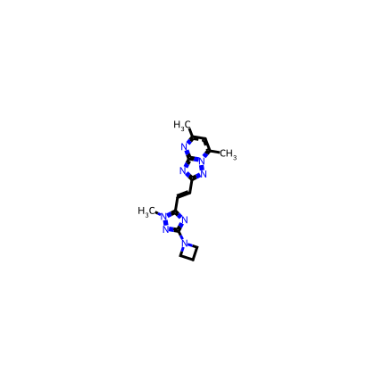 Cc1cc(C)n2nc(/C=C/c3nc(N4CCC4)nn3C)nc2n1